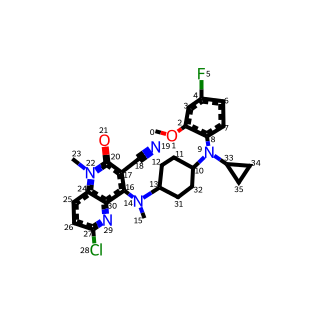 COc1cc(F)ccc1N(C1CCC(N(C)c2c(C#N)c(=O)n(C)c3ccc(Cl)nc23)CC1)C1CC1